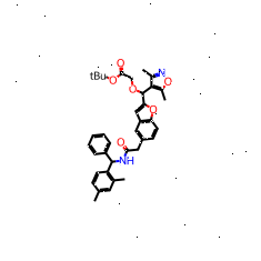 Cc1ccc(C(NC(=O)Cc2ccc3oc(C(OCC(=O)OC(C)(C)C)c4c(C)noc4C)cc3c2)c2ccccc2)c(C)c1